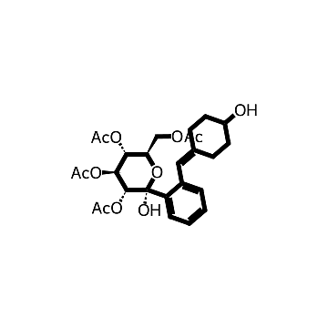 CC(=O)OC[C@H]1O[C@@](O)(c2ccccc2C=C2CCC(O)CC2)[C@H](OC(C)=O)[C@@H](OC(C)=O)[C@@H]1OC(C)=O